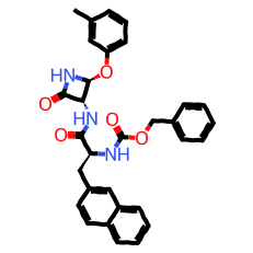 Cc1cccc(O[C@@H]2NC(=O)[C@H]2NC(=O)[C@H](Cc2ccc3ccccc3c2)NC(=O)OCc2ccccc2)c1